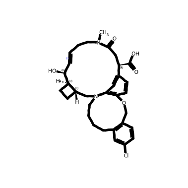 CN1CC/C=C/[C@H](O)[C@@H]2CC[C@H]2CN2CCCCc3cc(Cl)ccc3COc3ccc(cc32)[C@H](C(=O)O)CC1=O